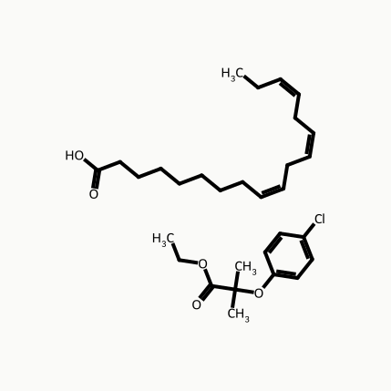 CC/C=C\C/C=C\C/C=C\CCCCCCCC(=O)O.CCOC(=O)C(C)(C)Oc1ccc(Cl)cc1